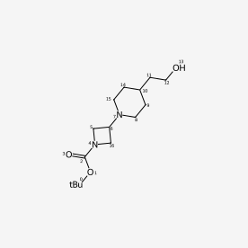 CC(C)(C)OC(=O)N1CC(N2CCC(CCO)CC2)C1